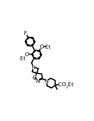 CCOC(=O)C1(C)CCN(C2=NOC3(C2)CN(Cc2ccc(OCC)c(-c4ccc(F)cc4)c2OCC)C3)CC1